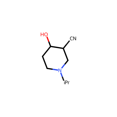 CC(C)N1CCC(O)C(C#N)C1